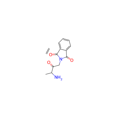 C=C.CC(N)C(=O)CN1C(=O)c2ccccc2C1=O